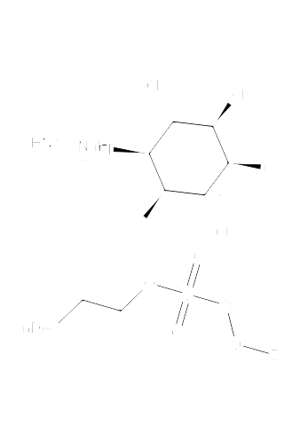 CCCCCCCCCCCCOS(=O)(=O)OOCC.Cl[C@H]1[C@H](Cl)[C@@H](Cl)[C@@H](Cl)[C@H](Cl)[C@H]1Cl.[NaH].[NaH]